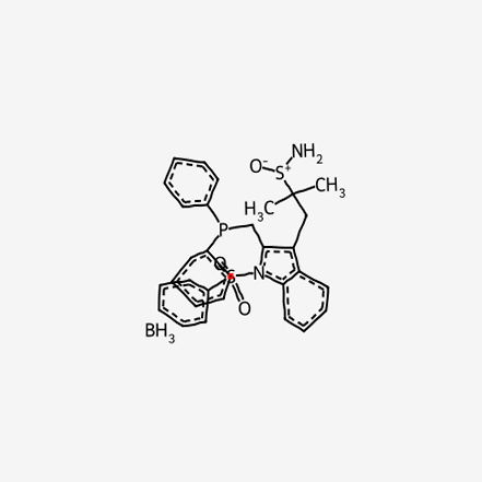 B.CC(C)(Cc1c(CP(c2ccccc2)c2ccccc2)n(S(=O)(=O)c2ccccc2)c2ccccc12)[S+](N)[O-]